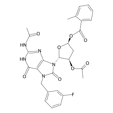 CC(=O)Nc1nc2c(c(=O)[nH]1)n(Cc1cccc(F)c1)c(=O)n2[C@@H]1O[C@@H](OC(=O)c2ccccc2C)C[C@H]1OC(C)=O